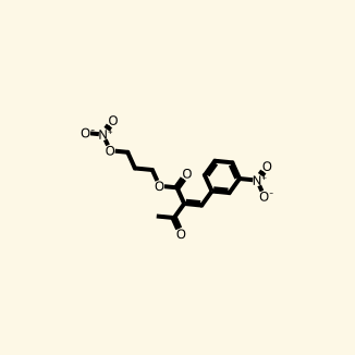 CC(=O)C(=Cc1cccc([N+](=O)[O-])c1)C(=O)OCCCO[N+](=O)[O-]